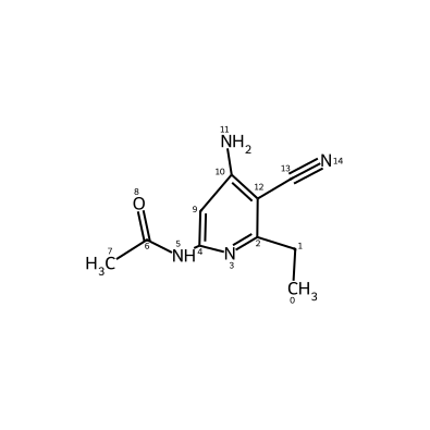 CCc1nc(NC(C)=O)cc(N)c1C#N